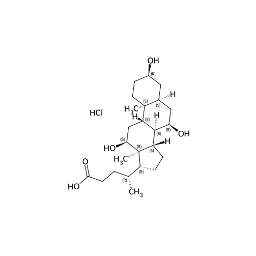 C[C@H](CCC(=O)O)[C@H]1CC[C@H]2[C@@H]3[C@H](O)C[C@@H]4C[C@H](O)CC[C@]4(C)[C@H]3C[C@H](O)[C@]12C.Cl